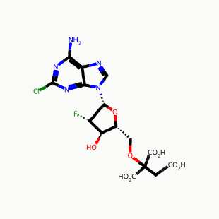 Nc1nc(Cl)nc2c1ncn2[C@@H]1O[C@H](COC(CC(=O)O)(C(=O)O)C(=O)O)[C@@H](O)[C@@H]1F